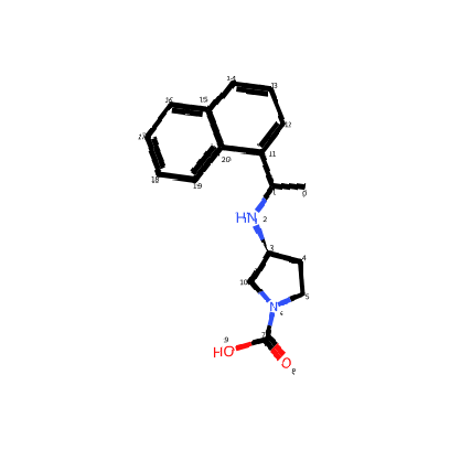 CC(N[C@H]1CCN(C(=O)O)C1)c1cccc2ccccc12